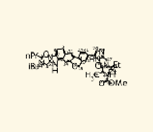 CCCC(=O)N(Cc1nc2ccc3cc4c(cc3c2[nH]1)OCc1cc(-c2cnc(CN(C(=O)[C@H](C)NC(=O)OC)C(CC)CC)[nH]2)ccc1-4)[C@@H](C)CC